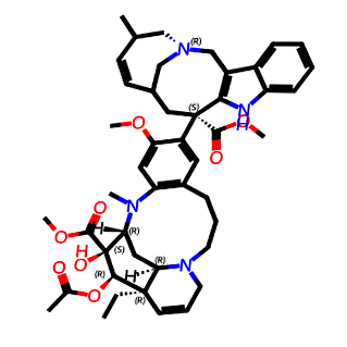 CC[C@@]12C=CCN3CCCc4cc([C@@]5(C(=O)OC)CC6C=CC(C)C[N@](Cc7c5[nH]c5ccccc75)C6)c(OC)cc4N(C)[C@H](C[C@@H]31)[C@@](O)(C(=O)OC)[C@@H]2OC(C)=O